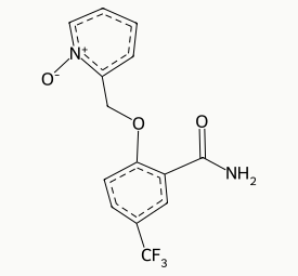 NC(=O)c1cc(C(F)(F)F)ccc1OCc1cccc[n+]1[O-]